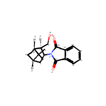 CC1(C)[C@@H]2CC(N3C(=O)c4ccccc4C3=O)[C@H](CO)[C@H]1C2